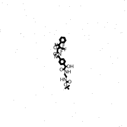 CC(C)(C)OC(=O)NCCNC(=O)C(O)c1ccc(-c2noc(-c3onc(-c4ccccc4)c3C(F)(F)F)n2)cc1